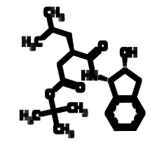 CC(C)C[C@H](CC(=O)OC(C)(C)C)C(=O)N[C@H]1c2ccccc2C[C@H]1O